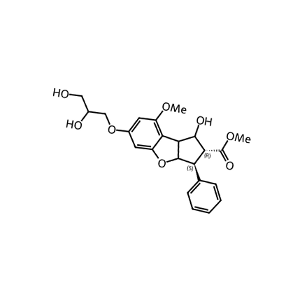 COC(=O)[C@H]1C(O)C2c3c(OC)cc(OCC(O)CO)cc3OC2[C@@H]1c1ccccc1